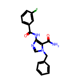 NC(=O)c1c(NC(=O)c2cccc(F)c2)ncn1Cc1ccccc1